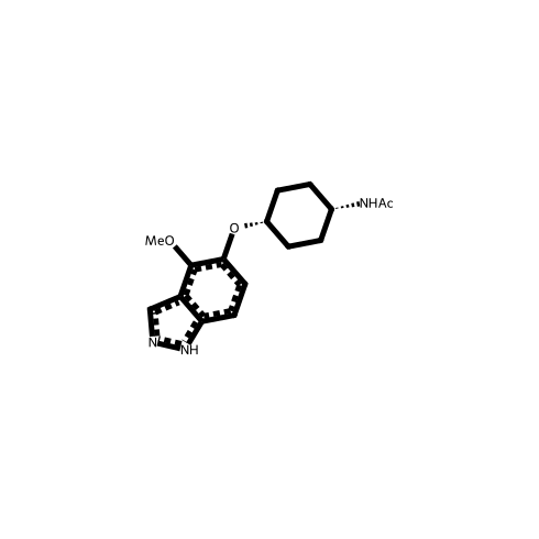 COc1c(O[C@H]2CC[C@@H](NC(C)=O)CC2)ccc2[nH]ncc12